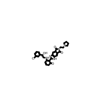 O=C1CC=CC(NC[C@@H](O)c2cccc(Cl)c2)=C1c1nc2cc3c(cc2[nH]1)C(=O)N(CCN1CCCC1)C3=O